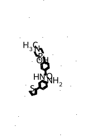 CN1CC[P](O)(Cc2ccc(C(=O)Nc3cc(-c4cccs4)ccc3N)cc2)CC1